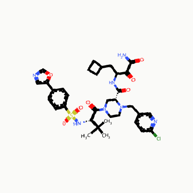 CC(C)(C)[C@H](NS(=O)(=O)c1ccc(-c2cnco2)cc1)C(=O)N1CCN(Cc2ccc(Cl)nc2)[C@@H](C(=O)NC(CC2CCC2)C(=O)C(N)=O)C1